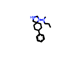 CCCN(C)N1CNCC12CCC(c1ccccc1)CC2